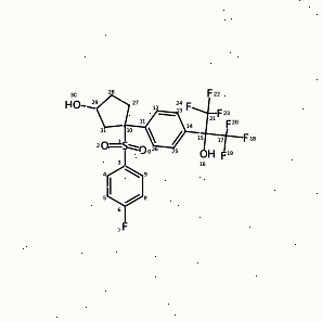 O=S(=O)(c1ccc(F)cc1)C1(c2ccc(C(O)(C(F)(F)F)C(F)(F)F)cc2)CCC(O)C1